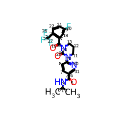 CC(C)NC(=O)c1ccc(N2CCCN(C(=O)c3cc(F)ccc3C(F)(F)F)C2=O)nc1